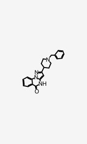 O=c1[nH]c2cc(C3CCN(Cc4ccccc4)CC3)nn2c2ccccc12